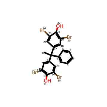 CC(c1ccccc1)(c1cc(Br)c(O)c(Br)c1)c1cc(Br)c(O)c(Br)c1